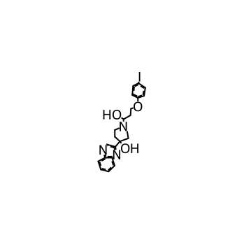 OC(CCOc1ccc(I)cc1)N1CCC(O)(c2cnc3ccccc3n2)CC1